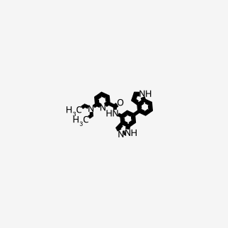 CCN(CC)c1cccc(C(=O)Nc2cc(-c3cccc4[nH]ccc34)cc3[nH]ncc23)n1